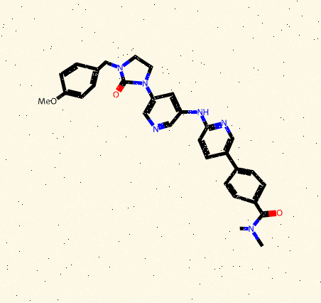 COc1ccc(CN2CCN(c3cncc(Nc4ccc(-c5ccc(C(=O)N(C)C)cc5)cn4)c3)C2=O)cc1